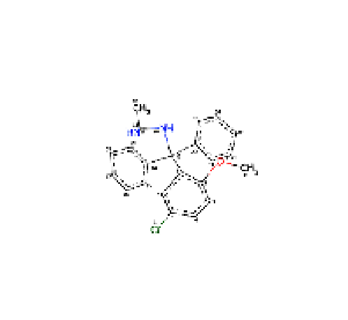 COc1ccc(Cl)cc1C(NC(C)=N)(c1ccccc1)c1ccccc1